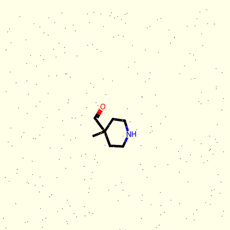 CC1(C=O)CCNCC1